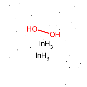 OO.[InH3].[InH3]